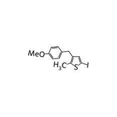 COc1ccc(Cc2cc(I)sc2C)cc1